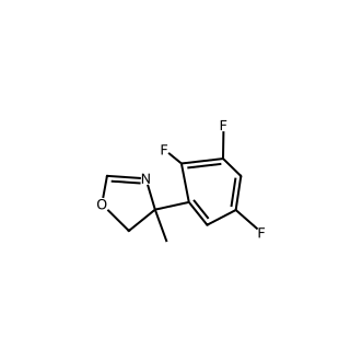 CC1(c2cc(F)cc(F)c2F)COC=N1